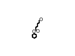 O=CC=CC=CC(=O)Oc1ccccc1